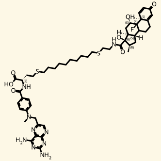 C[C@@H]1C[C@H]2C3CCC4=CC(=O)C=C[C@]4(C)[C@@]3(F)[C@@H](O)C[C@]2(C)[C@@]1(O)C(=O)NCCSCCCCCCCCCCSCC[C@H](NC(=O)c1ccc(N(C)Cc2cnc3nc(N)nc(N)c3n2)cc1)C(=O)O